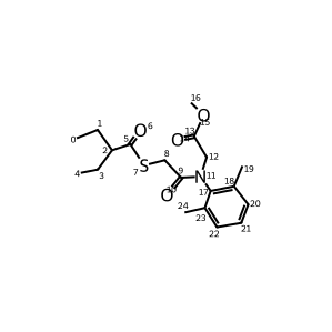 CCC(CC)C(=O)SCC(=O)N(CC(=O)OC)c1c(C)cccc1C